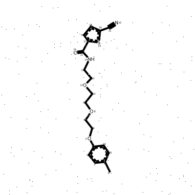 Cc1ccc(OCCOCCOCCNC(=O)c2ccc(C#N)s2)cc1